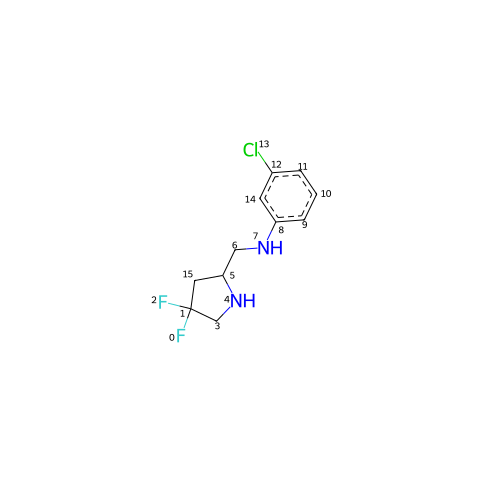 FC1(F)CNC(CNc2cccc(Cl)c2)C1